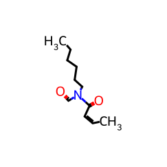 C/C=C\C(=O)N(C=O)CCCCCC